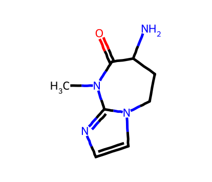 CN1C(=O)C(N)CCn2ccnc21